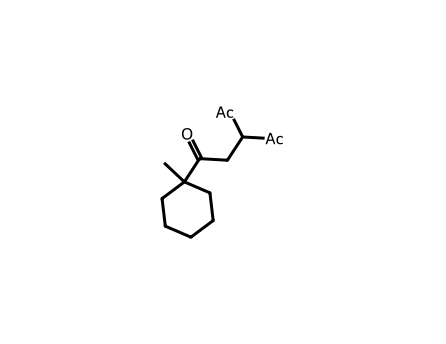 CC(=O)C(CC(=O)C1(C)CCCCC1)C(C)=O